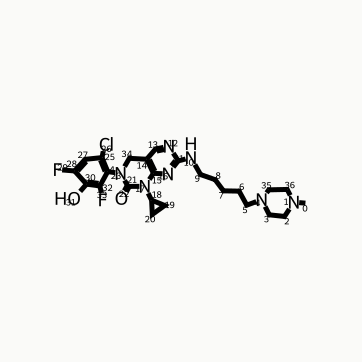 CN1CCN(CCCCCNc2ncc3c(n2)N(C2CC2)C(=O)N(c2c(Cl)cc(F)c(O)c2F)C3)CC1